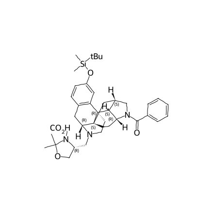 CC1(C)OC[C@@H](CN2CC[C@@]34c5cc(O[Si](C)(C)C(C)(C)C)ccc5C[C@@H]2[C@]32CC[C@@H]3[C@H]4[C@@H](CN3C(=O)c3ccccc3)C2)N1C(=O)O